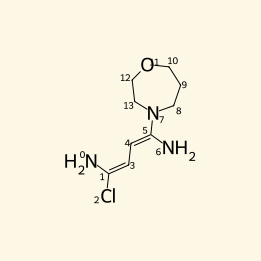 N/C(Cl)=C\C=C(/N)N1CCCOCC1